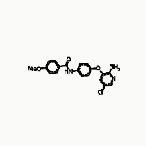 COc1ccc(C(=O)Nc2ccc(Oc3cc(Cl)cnc3N)cc2)cc1